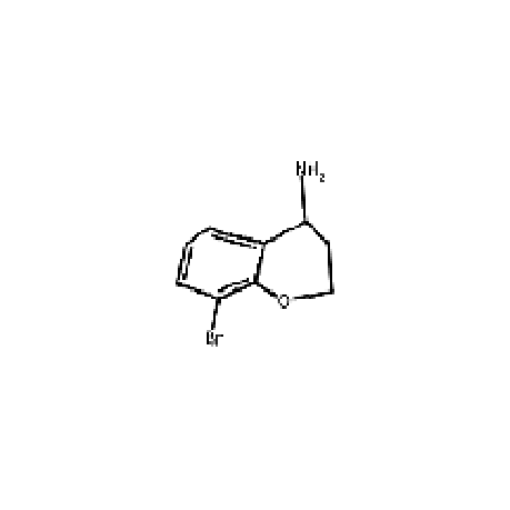 NC1CCOc2c(Br)cccc21